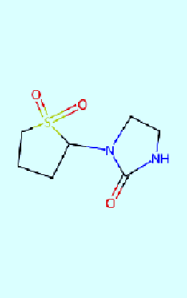 O=C1NCCN1C1CCCS1(=O)=O